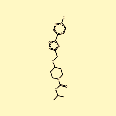 CC(C)OC(=O)N1CCC(OCc2noc(-c3ccc(Cl)nc3)n2)CC1